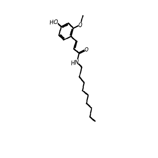 CCCCCCCCCNC(=O)/C=C/c1ccc(O)cc1OC